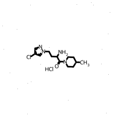 CC1CCN(C(=O)C(N)CCn2cc(Cl)cn2)CC1.Cl